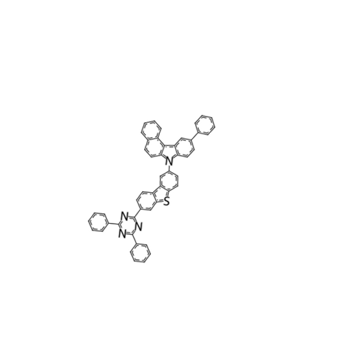 c1ccc(-c2ccc3c(c2)c2c4ccccc4ccc2n3-c2ccc3sc4cc(-c5nc(-c6ccccc6)nc(-c6ccccc6)n5)ccc4c3c2)cc1